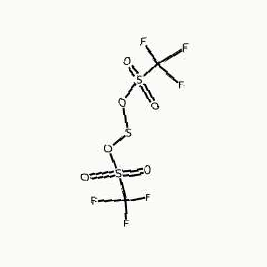 O=S(=O)(OSOS(=O)(=O)C(F)(F)F)C(F)(F)F